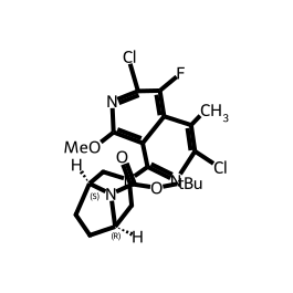 COc1nc(Cl)c(F)c2c(C)c(Cl)nc(N3C[C@H]4CC[C@@H](C3)N4C(=O)OC(C)(C)C)c12